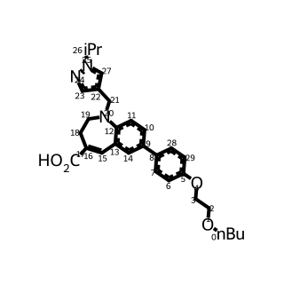 CCCCOCCOc1ccc(-c2ccc3c(c2)C=C(C(=O)O)CCN3Cc2cnn(C(C)C)c2)cc1